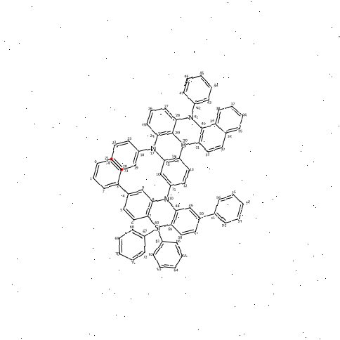 c1ccc(-c2ccc3c(c2)N(c2ccc4c(c2)N(c2ccccc2)c2cccc5c2B4c2ccc4ccccc4c2N5c2ccccc2)c2cc(-c4ccccc4)ccc2[Si]3(c2ccccc2)c2ccccc2)cc1